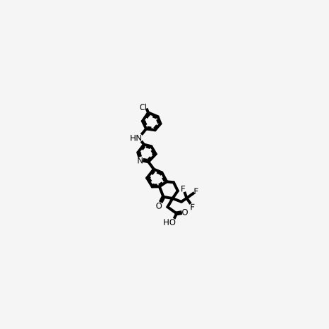 O=C(O)CC1(CC(F)(F)F)CCc2cc(-c3ccc(Nc4cccc(Cl)c4)cn3)ccc2C1=O